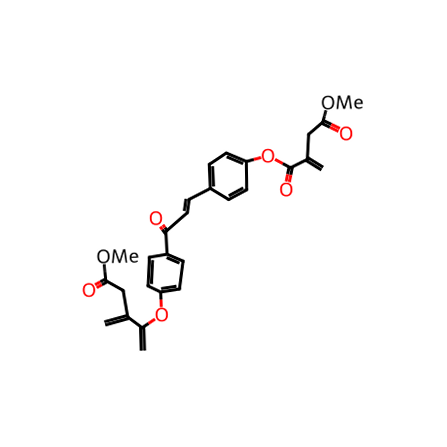 C=C(CC(=O)OC)C(=C)Oc1ccc(C(=O)/C=C/c2ccc(OC(=O)C(=C)CC(=O)OC)cc2)cc1